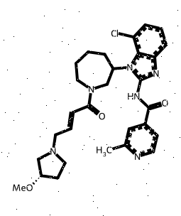 CO[C@H]1CCN(C/C=C/C(=O)N2CCCCC(n3c(NC(=O)c4ccnc(C)c4)nc4cccc(Cl)c43)C2)C1